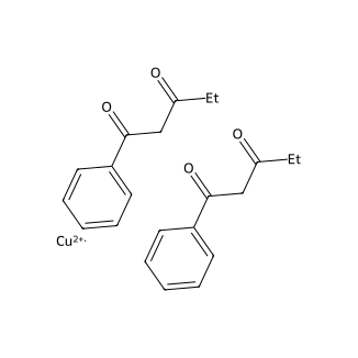 CCC(=O)CC(=O)c1ccccc1.CCC(=O)CC(=O)c1ccccc1.[Cu+2]